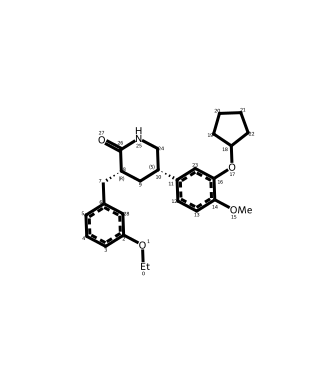 CCOc1cccc(C[C@H]2C[C@@H](c3ccc(OC)c(OC4CCCC4)c3)CNC2=O)c1